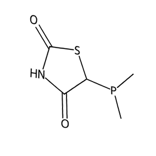 CP(C)C1SC(=O)NC1=O